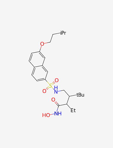 CCC(C(=O)NO)C(CNS(=O)(=O)c1ccc2ccc(OCCC(C)C)cc2c1)C(C)(C)C